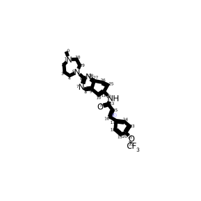 CN1CCCN(c2ncc3cc(NC(=O)/C=C/c4ccc(OC(F)(F)F)cc4)ccc3n2)CC1